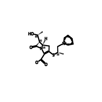 C[C@@H](C[n+]1ccccc1)SC1=C(C(=O)[O-])N2C(=O)[C@H]([C@@H](C)O)[C@H]2C1